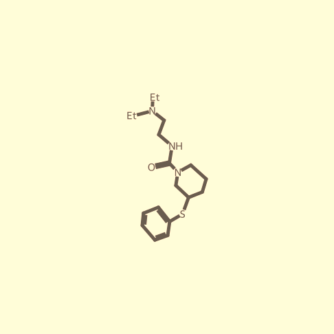 CCN(CC)CCNC(=O)N1CCCC(Sc2ccccc2)C1